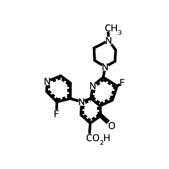 CN1CCN(c2nc3c(cc2F)c(=O)c(C(=O)O)cn3-c2ccncc2F)CC1